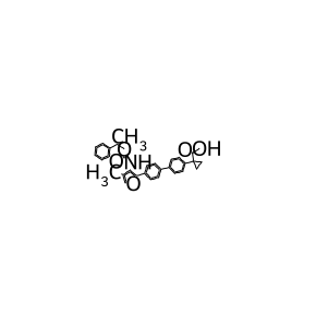 Cc1coc(-c2ccc(-c3ccc(C4(C(=O)O)CC4)cc3)cc2)c1NC(=O)OC(C)c1ccccc1